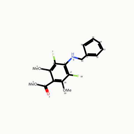 COC(=O)c1c(OC)c(F)c(NCc2ccccc2)c(F)c1OC